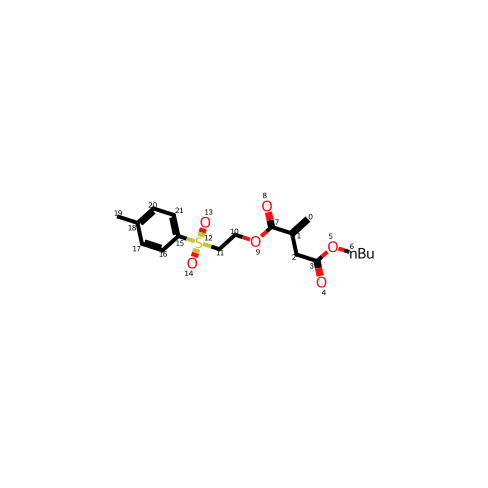 C=C(CC(=O)OCCCC)C(=O)OCCS(=O)(=O)c1ccc(C)cc1